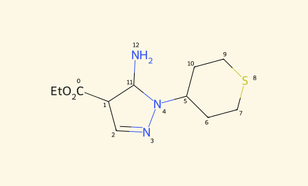 CCOC(=O)C1C=NN(C2CCSCC2)C1N